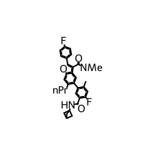 CCCc1cc2oc(-c3ccc(F)cc3)c(C(=O)NC)c2cc1-c1cc(C(=O)NC23CC(C2)C3)c(F)cc1C